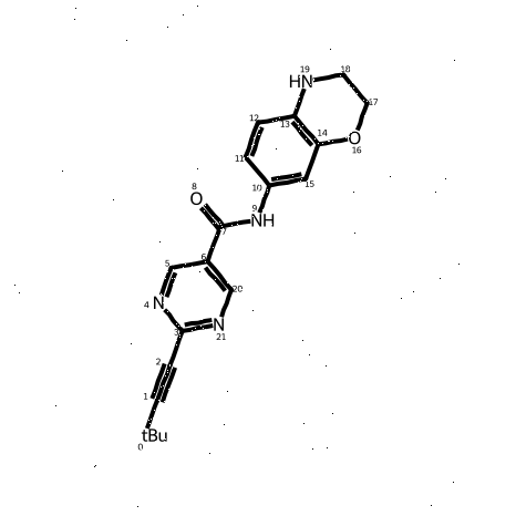 CC(C)(C)C#Cc1ncc(C(=O)Nc2ccc3c(c2)OCCN3)cn1